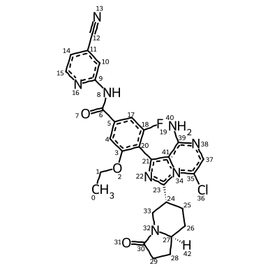 CCOc1cc(C(=O)Nc2cc(C#N)ccn2)cc(F)c1-c1nc([C@@H]2CC[C@H]3CCC(=O)N3C2)n2c(Cl)cnc(N)c12